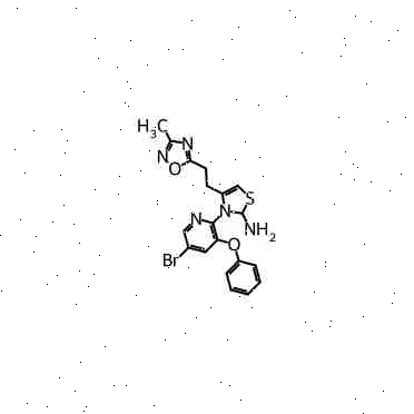 Cc1noc(CCC2=CSC(N)N2c2ncc(Br)cc2Oc2ccccc2)n1